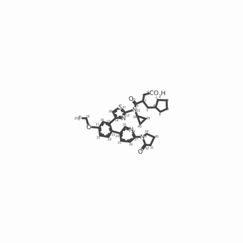 O=C(O)CC(CC1CCCC1)C(=O)N(c1nc(-c2cc(OCF)ccc2-c2ccc(N3CCCC3=O)nc2)cs1)C1CC1